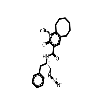 CCCCn1c2c(cc(C(=O)N[C@H](CN=[N+]=[N-])Cc3ccccc3)c1=O)CCCCCC2